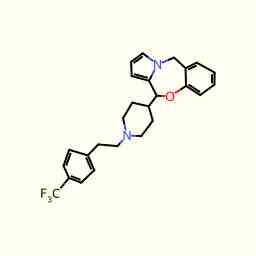 FC(F)(F)c1ccc(CCN2CCC(C3Oc4ccccc4Cn4cccc43)CC2)cc1